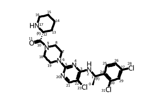 C[C@@H](Nc1nc(N2CCN(C(=O)[C@H]3CCCCN3)CC2)ncc1Cl)c1ccc(Cl)cc1Cl